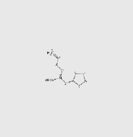 C=CCCN(CCCCCC)CC1CCCC1